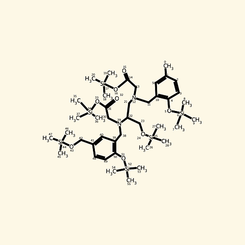 Cc1ccc(O[Si](C)(C)C)c(CN(CC(=O)O[Si](C)(C)C)CC(CO[Si](C)(C)C)N(CC(=O)O[Si](C)(C)C)Cc2cc(CO[Si](C)(C)C)ccc2O[Si](C)(C)C)c1